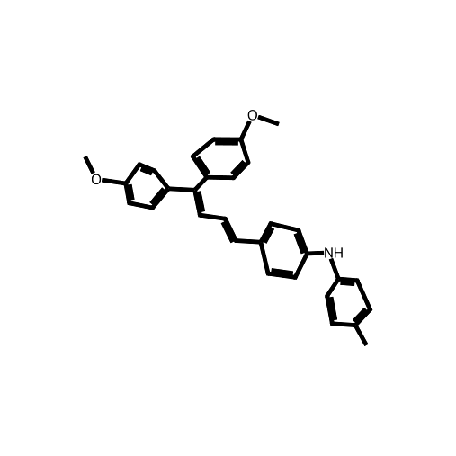 COc1ccc(C(=CC=Cc2ccc(Nc3ccc(C)cc3)cc2)c2ccc(OC)cc2)cc1